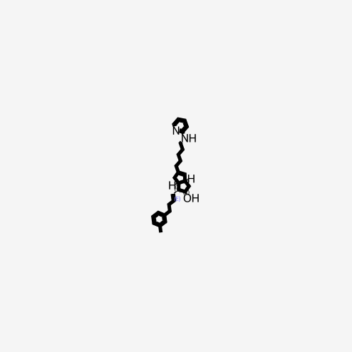 Cc1cccc(CC/C=C/[C@@H]2[C@H]3CC(CCCCCNc4ccccn4)=C[C@H]3C[C@H]2O)c1